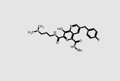 CN(C)CCCNC(=O)c1nc(C(=O)NC(C)(C)C)c2cc(Cc3ccc(F)cc3)cnc2c1O